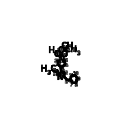 CCn1nc(Cc2ccccc2)cc1C1CCN(C(=O)OC(C)(C)C)CC1